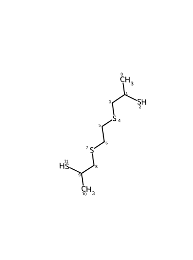 CC(S)CSCCSCC(C)S